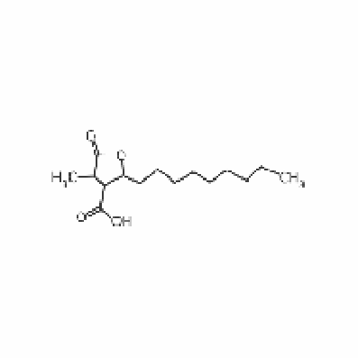 CCCCCCCCCC1OC(=O)C(C)C1C(=O)O